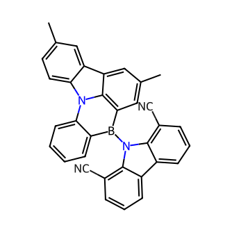 Cc1ccc2c(c1)c1cc(C)cc3c1n2-c1ccccc1B3n1c2c(C#N)cccc2c2cccc(C#N)c21